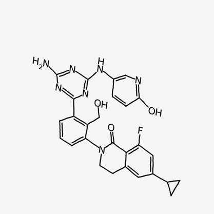 Nc1nc(Nc2ccc(O)nc2)nc(-c2cccc(N3CCc4cc(C5CC5)cc(F)c4C3=O)c2CO)n1